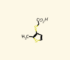 Cc1sccc1SCC(=O)O